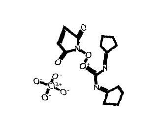 O=C1C=CC(=O)N1O[O+]=C(N=C1CCCC1)N=C1CCCC1.[O-][Cl+3]([O-])([O-])[O-]